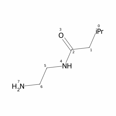 CC(C)CC(=O)NCCN